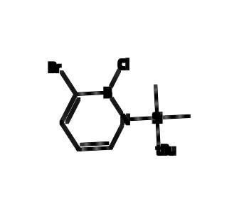 CC(C)(C)[Si](C)(C)N1C=CC=C(Br)B1Cl